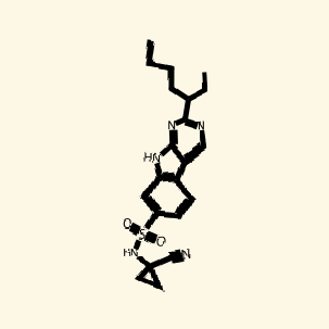 CCCCC(CC)c1ncc2c(n1)[nH]c1cc(S(=O)(=O)NC3(C#N)CC3)ccc12